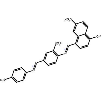 O=S(=O)(O)c1ccc(/N=N/c2ccc(/N=N/c3ccc(O)c4ccc(S(=O)(=O)O)cc34)c(S(=O)(=O)O)c2)cc1